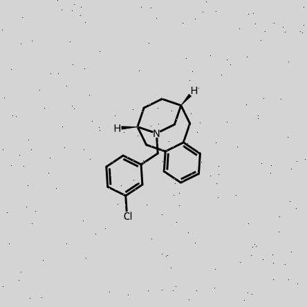 Clc1cccc(CN2C[C@@H]3CC[C@H]2Cc2ccccc2C3)c1